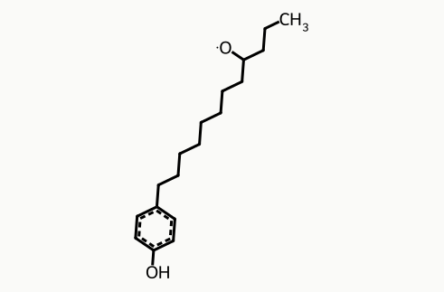 CCCC([O])CCCCCCCCc1ccc(O)cc1